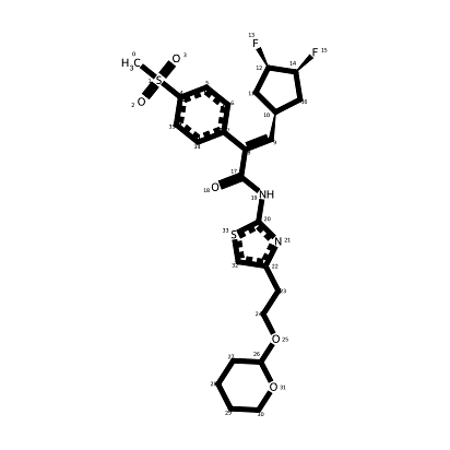 CS(=O)(=O)c1ccc(/C(=C\[C@H]2C[C@@H](F)[C@@H](F)C2)C(=O)Nc2nc(CCOC3CCCCO3)cs2)cc1